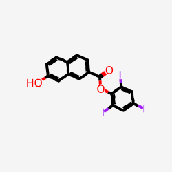 O=C(Oc1c(I)cc(I)cc1I)c1ccc2ccc(O)cc2c1